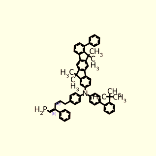 CC(C)(C)c1ccccc1-c1ccc(N(c2ccc(C/C=C\C(=C/P)c3ccccc3)cc2)c2ccc3c(c2)C(C)(C)c2cc4c(cc2-3)C(C)(C)c2c(-c3ccccc3)cccc2-4)cc1